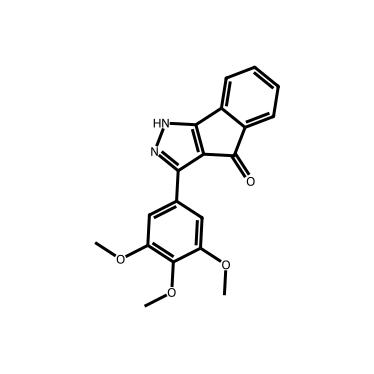 COc1cc(-c2n[nH]c3c2C(=O)c2ccccc2-3)cc(OC)c1OC